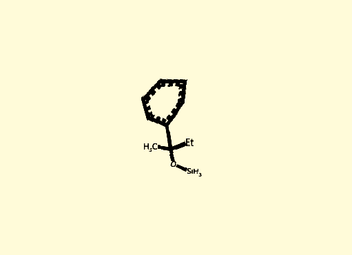 CCC(C)(O[SiH3])c1ccccc1